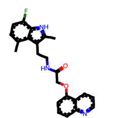 Cc1[nH]c2c(F)ccc(C)c2c1CCNC(=O)COc1cccc2ncccc12